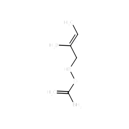 BC(=C)OBC/C(B)=C/C